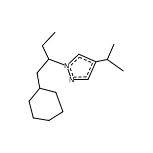 CCC(CC1CCCCC1)n1cc(C(C)C)cn1